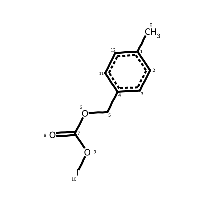 Cc1ccc(COC(=O)OI)cc1